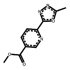 COC(=O)c1ccc(-c2nnc(C)o2)nc1